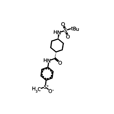 C[S+]([O-])c1ccc(NC(=O)[C@H]2CC[C@H](NS(=O)(=O)C(C)(C)C)CC2)cc1